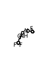 O=C(/C=C/c1cc(F)cc(F)c1)N[C@H]1CC[C@@H](CN2CCC(c3ccccc3F)CC2)C1